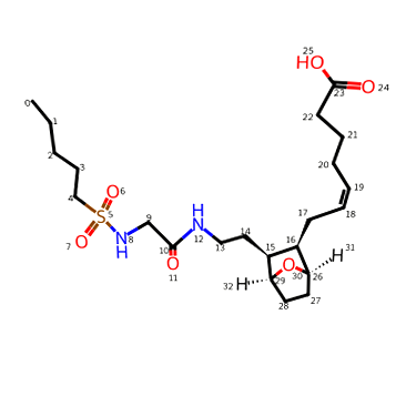 CCCCCS(=O)(=O)NCC(=O)NCC[C@H]1[C@@H](C/C=C\CCCC(=O)O)[C@H]2CC[C@@H]1O2